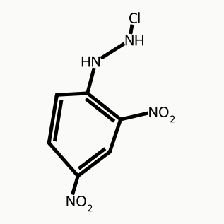 O=[N+]([O-])c1ccc(NNCl)c([N+](=O)[O-])c1